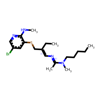 CCCCCN(C)/C(C)=N/C=C(\CC)CSc1cc(Br)cnc1NC